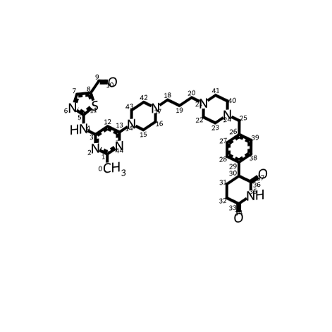 Cc1nc(Nc2ncc(C=O)s2)cc(N2CCN(CCCN3CCN(Cc4ccc(C5CCC(=O)NC5=O)cc4)CC3)CC2)n1